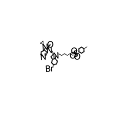 Cc1ccc(S(=O)(=O)OCCCCCn2c(Cn3c(=O)n(C4CC4)c4ccncc43)cc3cc(Br)ccc32)cc1